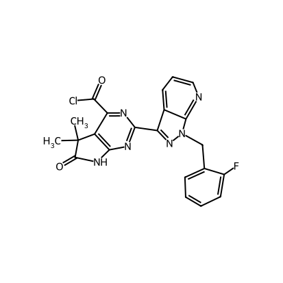 CC1(C)C(=O)Nc2nc(-c3nn(Cc4ccccc4F)c4ncccc34)nc(C(=O)Cl)c21